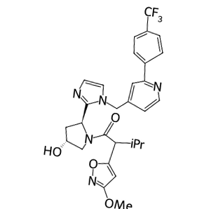 COc1cc(C(C(=O)N2C[C@H](O)C[C@H]2c2nccn2Cc2ccnc(-c3ccc(C(F)(F)F)cc3)c2)C(C)C)on1